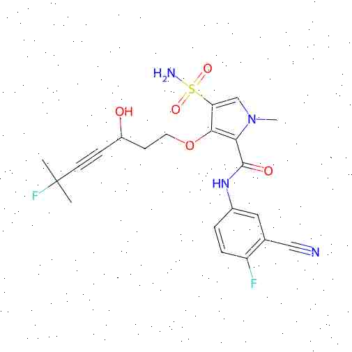 Cn1cc(S(N)(=O)=O)c(OCCC(O)C#CC(C)(C)F)c1C(=O)Nc1ccc(F)c(C#N)c1